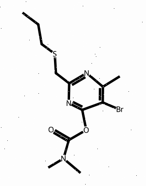 CCCSCc1nc(C)c(Br)c(OC(=O)N(C)C)n1